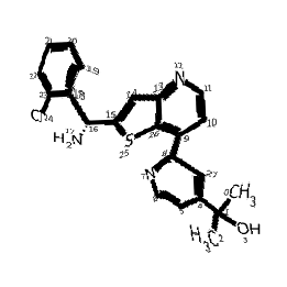 CC(C)(O)c1ccnc(-c2ccnc3cc([C@H](N)c4ccccc4Cl)sc23)c1